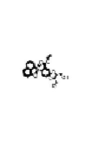 CCOC(=O)C1=CC2(CC[C@H]1S(=O)(=O)C1CCCc3cccc(Cl)c31)O[C@H](CO)[C@@H](CO)O2